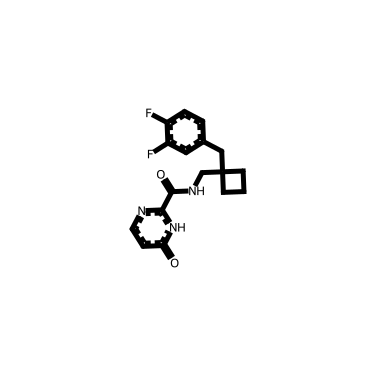 O=C(NCC1(Cc2ccc(F)c(F)c2)CCC1)c1nccc(=O)[nH]1